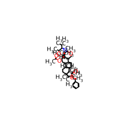 CC(=O)O[C@@H]1C[C@@]23COC[C@@](C)([C@@H]2CC[C@H]2C3=CC[C@@]3(C)[C@H](C(=O)OCc4ccccc4)[C@@](C)([C@H](C)C(C)C)CC[C@]23C)[C@H]1OC(C)C(C(C)C)N(C)C